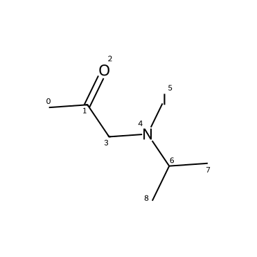 CC(=O)CN(I)C(C)C